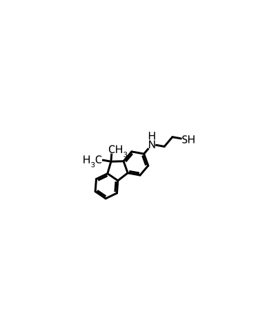 CC1(C)c2ccccc2-c2ccc(NCCS)cc21